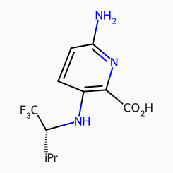 CC(C)[C@@H](Nc1ccc(N)nc1C(=O)O)C(F)(F)F